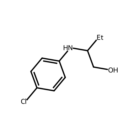 CCC(CO)Nc1ccc(Cl)cc1